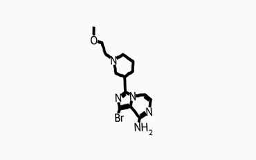 COCCN1CCCC(c2nc(Br)c3c(N)nccn23)C1